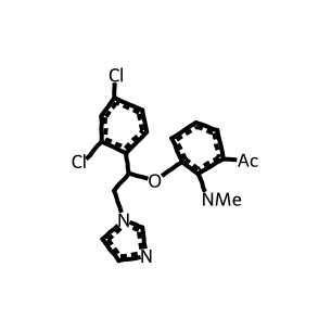 CNc1c(OC(Cn2ccnc2)c2ccc(Cl)cc2Cl)cccc1C(C)=O